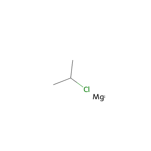 CC(C)Cl.[Mg]